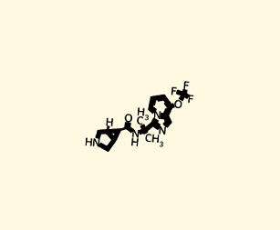 CC(C)(NC(=O)[C@H]1C2CNC[C@@H]21)c1ncc2c(OC(F)(F)F)cccn12